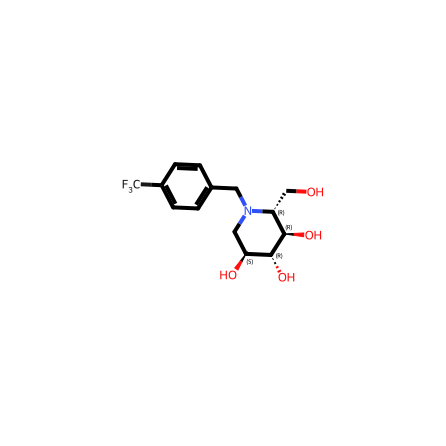 OC[C@@H]1[C@@H](O)[C@H](O)[C@@H](O)CN1Cc1ccc(C(F)(F)F)cc1